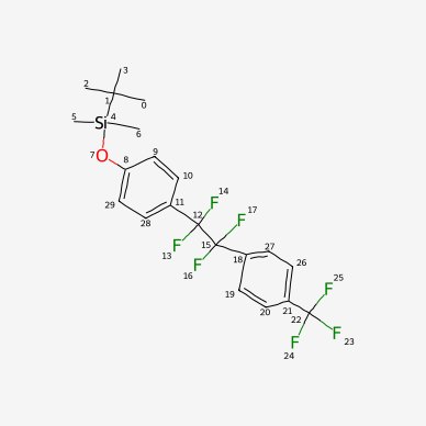 CC(C)(C)[Si](C)(C)Oc1ccc(C(F)(F)C(F)(F)c2ccc(C(F)(F)F)cc2)cc1